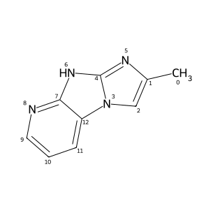 Cc1cn2c(n1)[nH]c1ncccc12